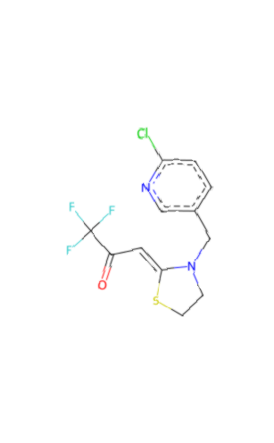 O=C(C=C1SCCN1Cc1ccc(Cl)nc1)C(F)(F)F